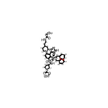 CC(C)(C)OC(=O)NCCC1CCN(c2ccc(S(=O)(=O)N[C@@H]3CCN(C(=O)OC(C)(C)C)C3)c(S(=O)(=O)N(Cc3ccccc3)Cc3ccccc3)c2-c2nn[nH]n2)CC1